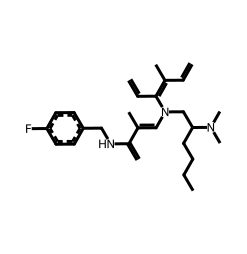 C=C/C(C)=C(/C=C)N(/C=C(\C)C(=C)NCc1ccc(F)cc1)CC(CCCC)N(C)C